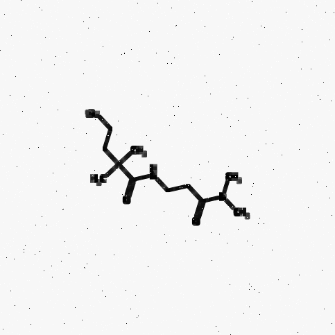 CN(C)C(=O)CCNC(=O)C(C)(C)CCC(C)(C)C